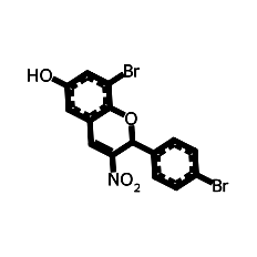 O=[N+]([O-])C1=Cc2cc(O)cc(Br)c2OC1c1ccc(Br)cc1